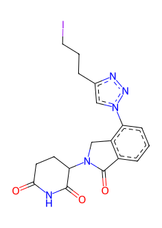 O=C1CCC(N2Cc3c(cccc3-n3cc(CCCI)nn3)C2=O)C(=O)N1